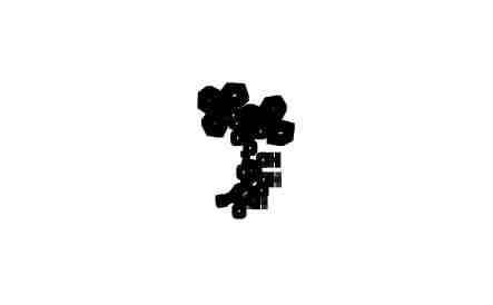 C#Cc1cn([C@@H]2O[C@H](CO[C@@H]3O[C@H](COC(c4ccccc4)(c4ccccc4)c4ccccc4)[C@H](O)[C@H]3OC(c3ccccc3)(c3ccccc3)c3ccccc3)[C@@H](O)[C@H]2O)c(=O)[nH]c1=O